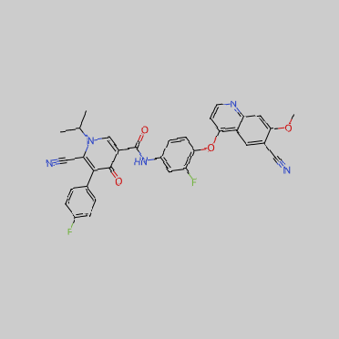 COc1cc2nccc(Oc3ccc(NC(=O)c4cn(C(C)C)c(C#N)c(-c5ccc(F)cc5)c4=O)cc3F)c2cc1C#N